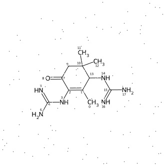 CC1=C(NC(=N)N)C(=O)CC(C)(C)C1NC(=N)N